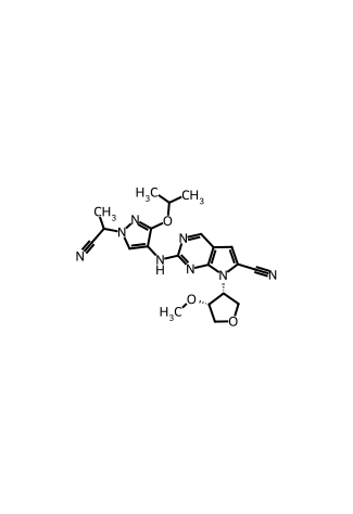 CO[C@H]1COC[C@H]1n1c(C#N)cc2cnc(Nc3cn(C(C)C#N)nc3OC(C)C)nc21